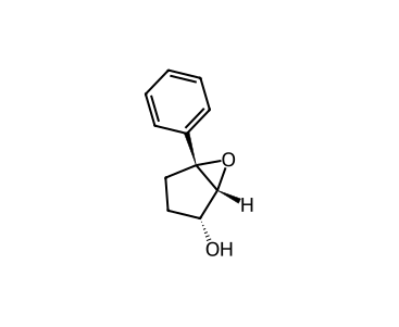 O[C@@H]1CC[C@]2(c3ccccc3)O[C@H]12